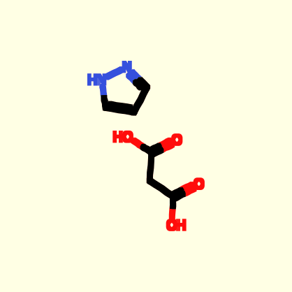 O=C(O)CC(=O)O.c1cn[nH]c1